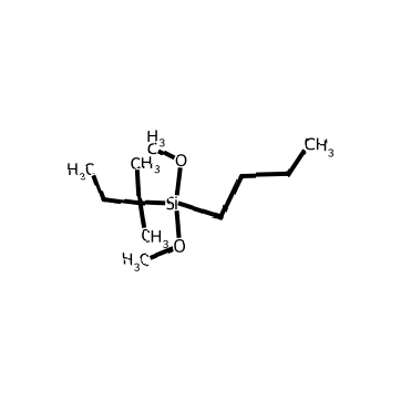 CCCC[Si](OC)(OC)C(C)(C)CC